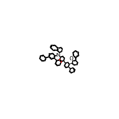 c1ccc(-c2ccc(N(c3ccc(-c4ccc(-c5ccccc5)c(-c5cccc6c5oc5ccccc56)c4)cc3)c3cccc4ccccc34)c(-c3ccccc3)c2)cc1